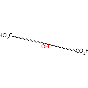 O=C(O)CCCCCCCCCCCCCCCCC(O)CCCCCCCCCCCCCCCCC(=O)O